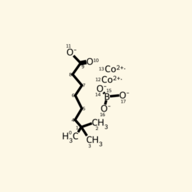 CC(C)(C)CCCCCC(=O)[O-].[Co+2].[Co+2].[O-]B([O-])[O-]